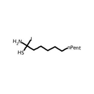 CCCCCCCCCCC(N)(S)I